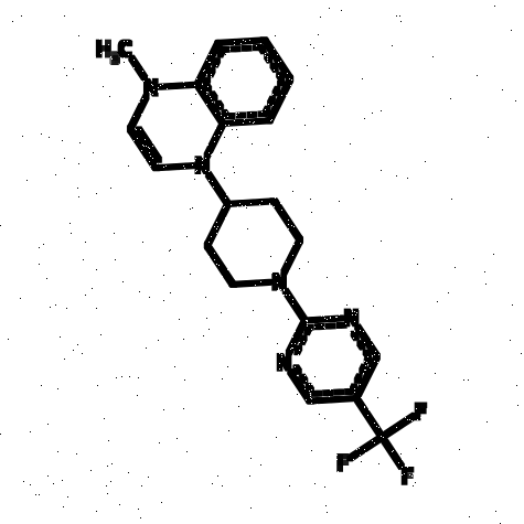 CN1C=CN(C2CCN(c3ncc(C(F)(F)F)cn3)CC2)c2ccccc21